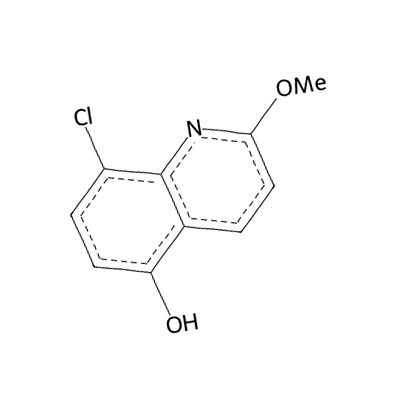 COc1ccc2c(O)ccc(Cl)c2n1